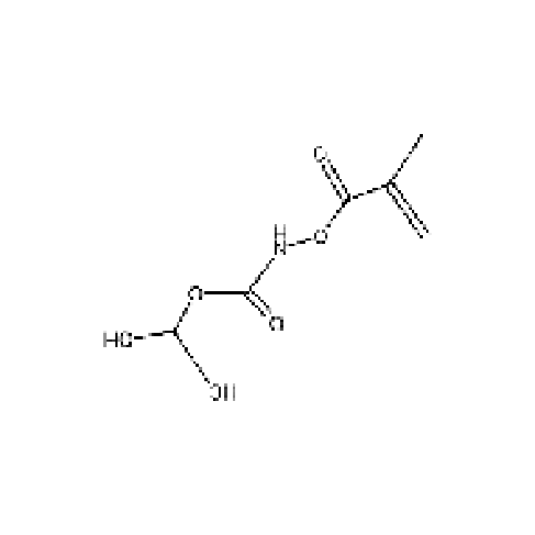 C=C(C)C(=O)ONC(=O)OC(O)O